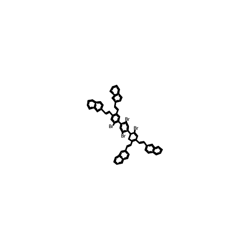 BrC1=CC(/C=C/c2ccc3ccccc3c2)=C(/C=C/c2ccc3ccccc3c2)CC1c1cc(Br)c(-c2cc(/C=C/c3ccc4ccccc4c3)c(/C=C/c3ccc4ccccc4c3)cc2Br)cc1Br